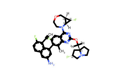 [2H]C([2H])(Oc1nc(N2CCOC[C@H]3[C@H](F)[C@H]32)c2cc(F)c(-c3cc(N)cc4ccc(F)c(C#C)c34)c(C)c2n1)[C@@]12CCCN1C[C@H](F)C2